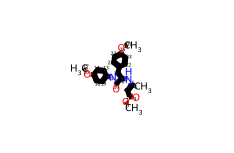 COC(=O)C=C(C)NC1C(=O)N(c2ccc(OC)cc2)C1c1ccc(OC)cc1